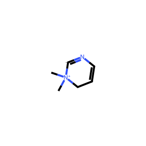 C[N+]1(C)[C]=NC=CC1